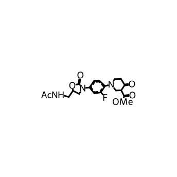 COC(=O)C1CN(c2ccc(N3CC(CNC(C)=O)OC3=O)cc2F)CCC1=O